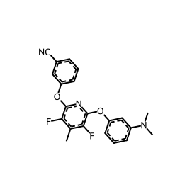 Cc1c(F)c(Oc2cccc(C#N)c2)nc(Oc2cccc(N(C)C)c2)c1F